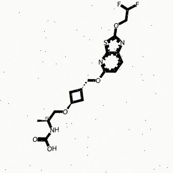 C[C@@H](CO[C@H]1C[C@H](COc2ccc3nc(OCC(F)F)sc3n2)C1)NC(=O)O